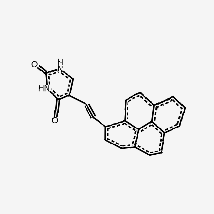 O=c1[nH]cc(C#Cc2ccc3ccc4cccc5ccc2c3c45)c(=O)[nH]1